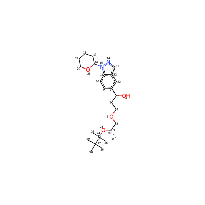 C[C@@H](COCCC(O)c1ccc2c(cnn2C2CCCCO2)c1)O[Si](C)(C)C(C)(C)C